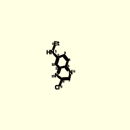 CCNc1ccc2ncc(Cl)nc2c1